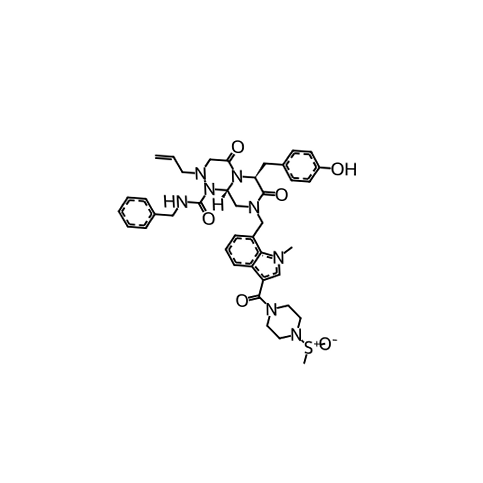 C=CCN1CC(=O)N2[C@@H](Cc3ccc(O)cc3)C(=O)N(Cc3cccc4c(C(=O)N5CCN([S+](C)[O-])CC5)cn(C)c34)C[C@@H]2N1C(=O)NCc1ccccc1